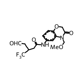 COCN1C(=O)COc2ccc(NC(=O)CC(CC=O)C(F)(F)F)cc21